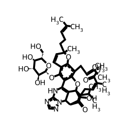 COC(=O)/C(C)=C\CC1(O)C(=O)C2CC(C(C)C)C13Oc1c(CC=C(C)C)c4c(c(O[C@H]5O[C@@H](CO)[C@H](O)[C@@H](O)[C@@H]5O)c1C1=C3C2n2ncnc2N1)C=CC(C)(CCC=C(C)C)O4